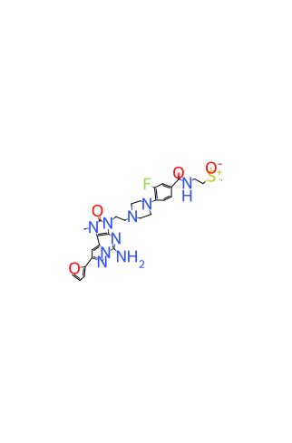 Cn1c(=O)n(CCN2CCN(c3ccc(C(=O)NCC[S@@+](C)[O-])cc3F)CC2)c2nc(N)n3nc(-c4ccco4)cc3c21